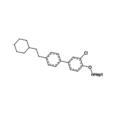 CCCCCCCOc1ccc(-c2ccc(CCC3CC[CH]CC3)cc2)cc1Cl